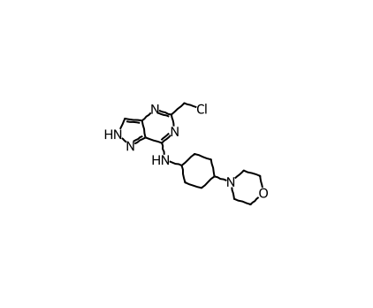 ClCc1nc(NC2CCC(N3CCOCC3)CC2)c2n[nH]cc2n1